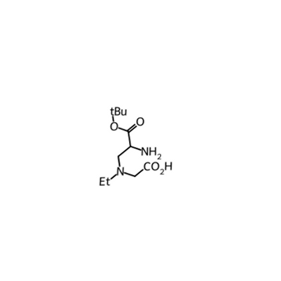 CCN(CC(=O)O)CC(N)C(=O)OC(C)(C)C